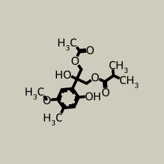 COc1cc(C(O)(COC(C)=O)COC(=O)C(C)C)c(O)cc1C